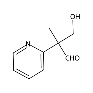 CC(C=O)(CO)c1ccccn1